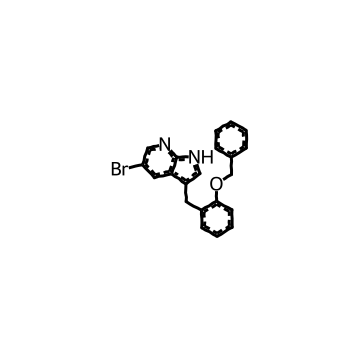 Brc1cnc2[nH]cc(Cc3ccccc3OCc3ccccc3)c2c1